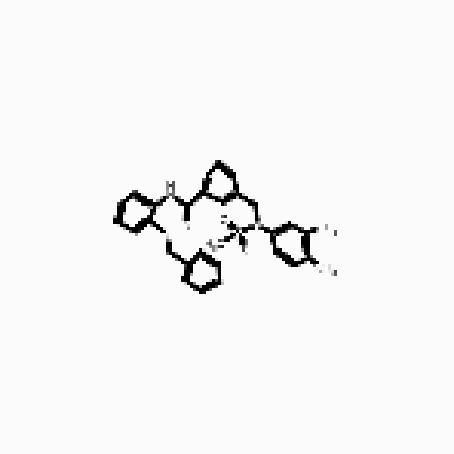 Cc1ccc(N(Cc2cccc(C(=O)Nc3ccccc3OCc3ccccc3)c2)S(C)(=O)=O)cc1C